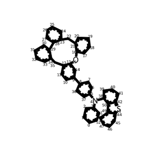 c1ccc(N(c2ccc(-c3ccc4c(c3)Oc3ccccc3Cc3ccccc3-c3ccccc3C4)cc2)c2cccc3sc4ccccc4c23)cc1